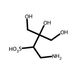 NCC(C(O)(CO)CO)S(=O)(=O)O